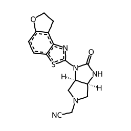 N#CCN1C[C@@H]2NC(=O)N(c3nc4c5c(ccc4s3)OCC5)[C@@H]2C1